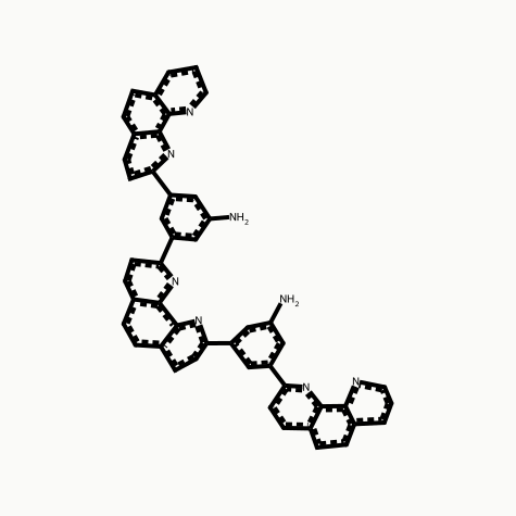 Nc1cc(-c2ccc3ccc4cccnc4c3n2)cc(-c2ccc3ccc4ccc(-c5cc(N)cc(-c6ccc7ccc8cccnc8c7n6)c5)nc4c3n2)c1